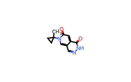 CC1(n2cc3cn[nH]c(=O)c3cc2=O)CC1